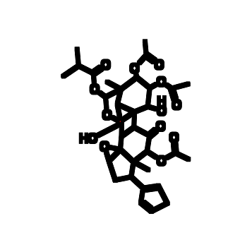 CC(=O)OC1C(OC(C)=O)C2(C)C(OC(=O)C(C)C)OCC3(C1O)C1C(=O)C(OC(C)=O)C4(C)C(C5=CCC=C5)CC5OC54C1C(O)CC23